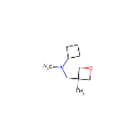 CN(CC1(C)COC1)C1CCC1